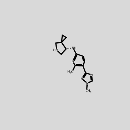 Cc1nc(N[C@@H]2CNCC23CC3)ccc1-c1ncn(C)n1